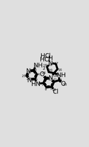 Cl.Cl.Nc1cc(Nc2cc(Cl)c3n(c2=O)C2(CCNCC2)NC3=O)ncn1